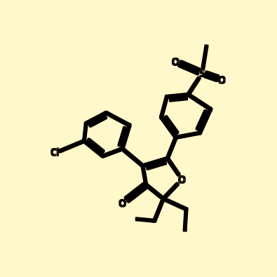 CCC1(CC)OC(c2ccc(S(C)(=O)=O)cc2)=C(c2cccc(Cl)c2)C1=O